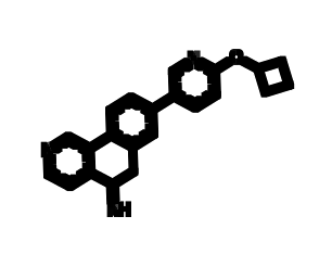 N=C1Cc2cc(-c3ccc(OC4CCC4)nc3)ccc2-c2cnccc21